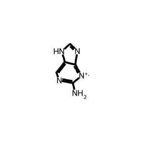 NC1=NC=c2[nH]cnc2=[N+]1